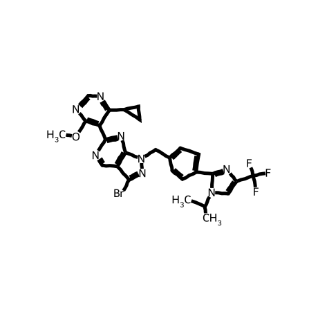 COc1ncnc(C2CC2)c1-c1ncc2c(Br)nn(Cc3ccc(-c4nc(C(F)(F)F)cn4C(C)C)cc3)c2n1